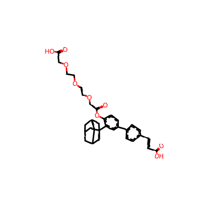 O=C(O)C=Cc1ccc(-c2ccc(OC(=O)COCCOCCOCC(=O)O)c(C34CC5CC(CC(C5)C3)C4)c2)cc1